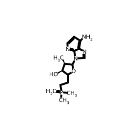 C=P(C)(C)CCC1OC(n2cnc3c(N)ccnc32)[C@H](C)[C@@H]1O